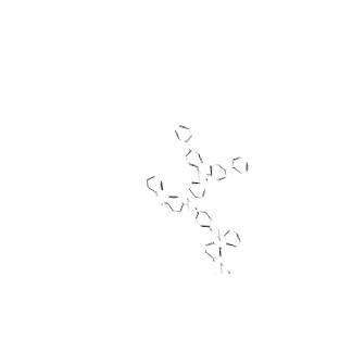 N#Cc1ccc2c(c1)c1ccccc1n2-c1ccc(N(c2ccc(-n3c4ccc(-c5ccccc5)cc4c4cc(-c5ccccc5)ccc43)cc2)c2ccc3sc4ccccc4c3c2)cc1